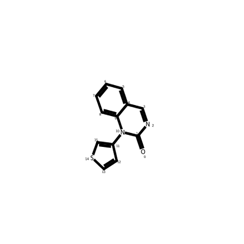 O=c1ncc2ccccc2n1-c1ccsc1